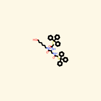 O=C(CSC(c1ccccc1)(c1ccccc1)c1ccccc1)NCC(NC(=O)CSC(c1ccccc1)(c1ccccc1)c1ccccc1)C(=O)NCCCCCCO